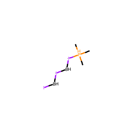 C[PH](C)(C)[I]B[I]BI